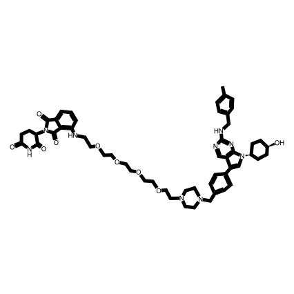 Cc1ccc(CNc2ncc3c(-c4ccc(CN5CCN(CCOCCOCCOCCOCCNc6cccc7c6C(=O)N(C6CCC(=O)NC6=O)C7=O)CC5)cc4)cn([C@H]4CC[C@H](O)CC4)c3n2)cc1